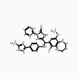 COc1cc(C(Nc2ccc(-c3noc(C)n3)cc2)c2nn(-c3ncccn3)c(=O)[nH]2)c(F)c2c1OCCCO2